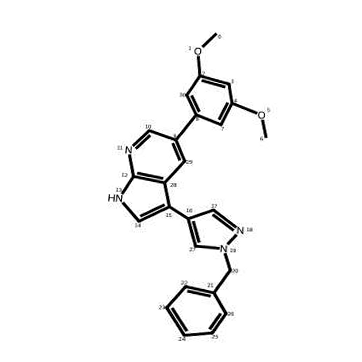 COc1cc(OC)cc(-c2cnc3[nH]cc(-c4cnn(Cc5ccccc5)c4)c3c2)c1